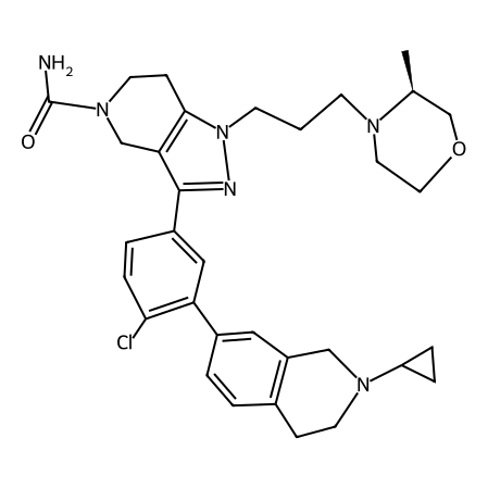 C[C@H]1COCCN1CCCn1nc(-c2ccc(Cl)c(-c3ccc4c(c3)CN(C3CC3)CC4)c2)c2c1CCN(C(N)=O)C2